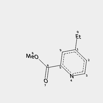 [CH2]Cc1ccnc(C(=O)OC)c1